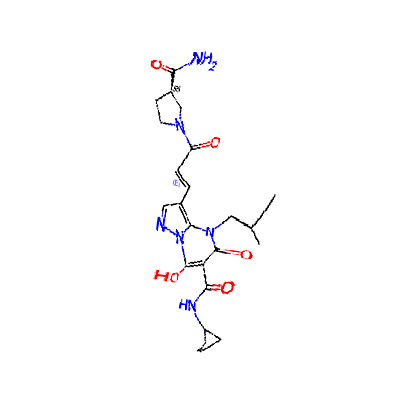 CC(C)Cn1c(=O)c(C(=O)NC2CC2)c(O)n2ncc(/C=C/C(=O)N3CC[C@@H](C(N)=O)C3)c12